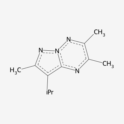 Cc1nc2c(C(C)C)c(C)nn2nc1C